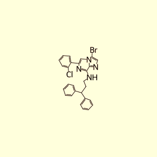 Clc1ccccc1-c1cn2c(Br)cnc2c(NCCC(c2ccccc2)c2ccccc2)n1